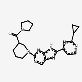 O=C(C1CCCN(c2ncc3nc(-c4ccnc(C5CC5)n4)[nH]c3n2)C1)N1CCCC1